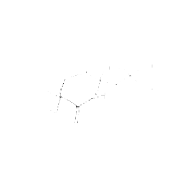 CC(C)C1(C)COC(CC(O)(C(F)(F)F)C(F)(F)F)(C(F)(F)F)NC1=O